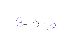 CC1=Nn2nc(C)nc2C1C1(C)Sc2c(O)c3c(c(O)c2S1)SC(=c1c(C)nn2nc(C)nc12)S3